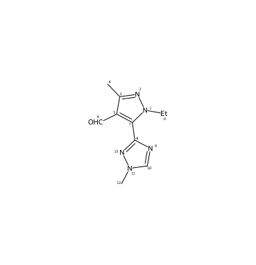 CCn1nc(C)c(C=O)c1-c1ncn(C)n1